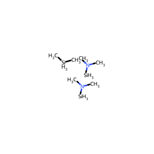 CN(C)[SiH3].CN(C)[SiH3].C[SiH2]C